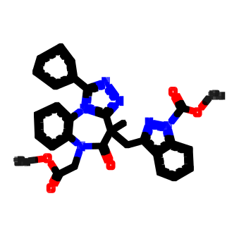 CC(C)(C)OC(=O)CN1C(=O)C(C)(Cc2nn(C(=O)OC(C)(C)C)c3ccccc23)c2nnc(-c3ccccc3)n2-c2ccccc21